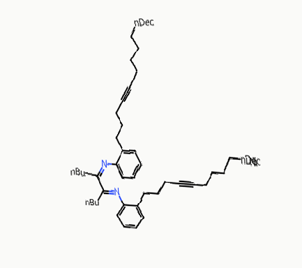 CCCCCCCCCCCCCCC#CCCCc1ccccc1N=C(CCCC)C(CCCC)=Nc1ccccc1CCCC#CCCCCCCCCCCCCCC.[Ni]